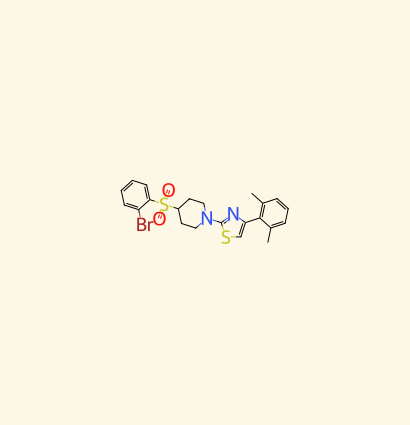 Cc1cccc(C)c1-c1csc(N2CCC(S(=O)(=O)c3ccccc3Br)CC2)n1